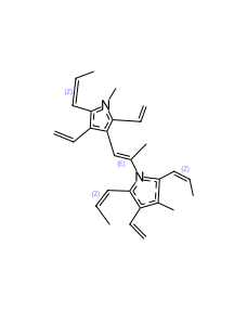 C=Cc1c(/C=C(\C)n2c(/C=C\C)c(C)c(C=C)c2/C=C\C)c(C=C)n(C)c1/C=C\C